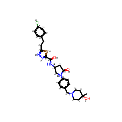 CC1(O)CCN(Cc2ccc(N3CC(NC(=O)c4nnc(CCc5ccc(Cl)cc5)s4)CC3=O)cc2)CC1